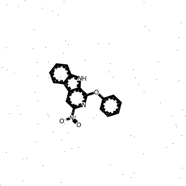 O=[N+]([O-])c1cc2c([nH]c3ccccc32)c(Oc2ccccc2)n1